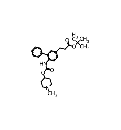 CN1CCC(OC(=O)Nc2ccc(CCC(=O)OC(C)(C)C)cc2-c2ccccc2)CC1